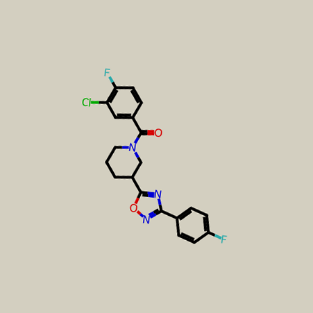 O=C(c1ccc(F)c(Cl)c1)N1CCCC(c2nc(-c3ccc(F)cc3)no2)C1